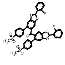 CS(=O)(=O)c1ccc(-c2cc3c(cc2C(=O)c2cc4c(cc2-c2ccc(S(C)(=O)=O)cc2)OC(c2ccccc2F)O4)OC(c2ccccc2F)O3)cc1